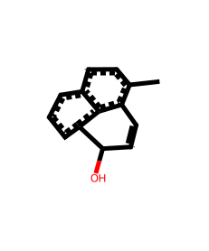 Cc1c[c]c2cccc3c2c1C=[C]C3O